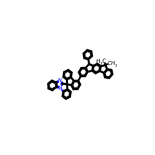 CC1(C)c2ccccc2-c2cc3c(cc21)C(c1ccccc1)c1ccc(-c2cccc4c2-c2ccccc2C42c4ccccc4-n4c2nc2ccccc24)cc1-3